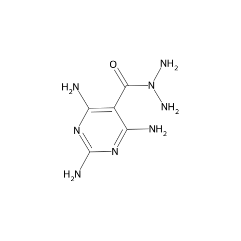 Nc1nc(N)c(C(=O)N(N)N)c(N)n1